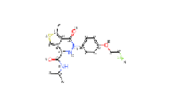 Cc1scc2c(C(=O)NC(C)C)nn(-c3ccc(OCC[18F])cc3)c(=O)c12